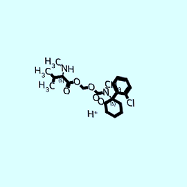 CN[C@H](C(=O)OCOC(=O)N(C)[C@]1(c2ccccc2Cl)CCCCC1=O)C(C)C.[H+]